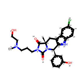 CCN(CCO)CCCN1C(=O)N2[C@H](c3cccc(O)c3)c3[nH]c4ccc(Br)cc4c3C[C@@]2(C)C1=O